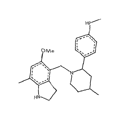 COc1cc(C)c2c(c1CN1CCC(C)CC1c1ccc(PC)cc1)CCN2